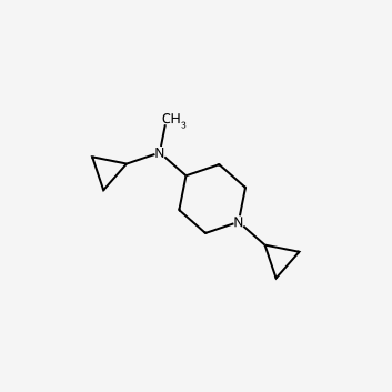 CN(C1CC1)C1CCN(C2CC2)CC1